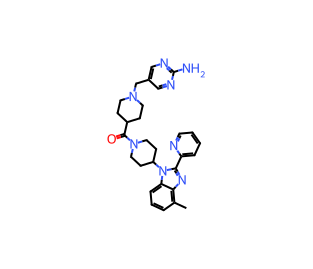 Cc1cccc2c1nc(-c1ccccn1)n2C1CCN(C(=O)C2CCN(Cc3cnc(N)nc3)CC2)CC1